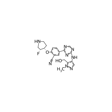 Cn1ncc(Nc2ncnc(-c3ccc(O[C@H]4CCNC[C@H]4F)c(C#N)c3)n2)c1CO